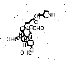 C[C@H](CCC(=O)OC(C)(C)C1CCNCC1)[C@H]1CC[C@H]2[C@@H]3C(OC=O)C[C@@H]4CC(OC=O)CC[C@]4(C)[C@H]3CC(OC=O)[C@]12C